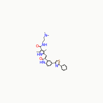 Cc1[nH]c(C=C2C(=O)Nc3ccc(-c4csc(-c5ccccc5)n4)cc32)c(C)c1C(=O)NCCCN(C)C